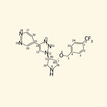 FC(F)(F)c1ccc(CO[C@@H]2CNC[C@H]2n2cc(-c3ccnnc3)nn2)cc1